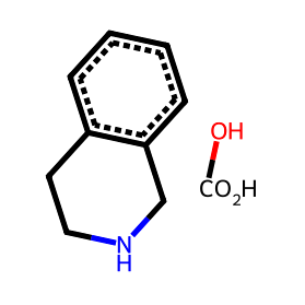 O=C(O)O.c1ccc2c(c1)CCNC2